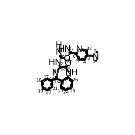 CN(C)c1ccc(C(=N)OC(=N)NC2N=C(c3ccccc3)c3ccccc3NC2=O)nc1